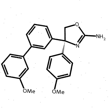 COc1ccc([C@]2(c3cccc(-c4cccc(OC)c4)c3)COC(N)=N2)cc1